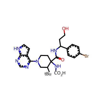 CC(C)(C)C1CN(c2ncnc3[nH]ccc23)CCC1(NC(=O)O)C(=O)NC(CCO)c1ccc(Br)cc1